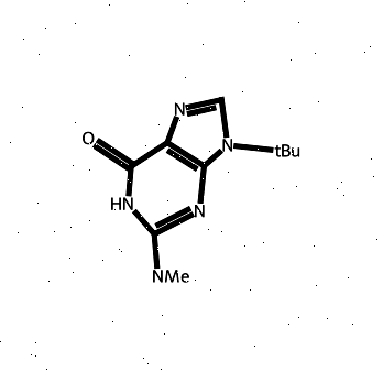 CNc1nc2c(ncn2C(C)(C)C)c(=O)[nH]1